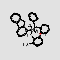 Cc1cccc(C)c1[NH][Hf]([Cl])([Cl])([c]1cccc2c1Cc1ccccc1-2)[SiH](c1ccccc1)c1ccccc1